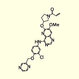 C=CC(=O)N1CCC(Oc2nc3c(Nc4ccc(OCc5cnccn5)c(Cl)c4)ncnc3cc2OC)C1